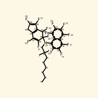 CCCCCCC(C)(C)CN(c1c(F)c(F)c(F)c2c(F)c(F)c(F)c(F)c12)C1(F)C(F)=C(F)C2=C(C(F)=C(F)[CH]2)C1F